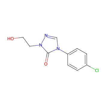 O=c1n(-c2ccc(Cl)cc2)cnn1CCO